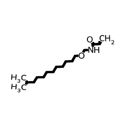 C=CC(=O)NCOCCCCCCCCCCC(C)C